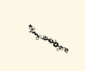 CN(CCCCC(=O)OC[C@@H]1CC(c2ccc(-c3ccc(N4C[C@H](Cn5ccnn5)OC4=O)cc3F)cn2)=NO1)C(=O)OC(C)(C)C